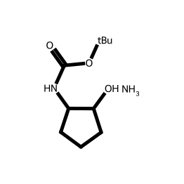 CC(C)(C)OC(=O)NC1CCCC1O.N